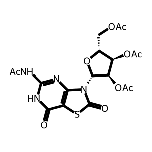 CC(=O)Nc1nc2c(sc(=O)n2[C@@H]2O[C@H](COC(C)=O)[C@@H](OC(C)=O)[C@H]2OC(C)=O)c(=O)[nH]1